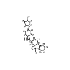 Cc1ccc(-c2ccc(Nc3ccc4c(c3)C(C)(C)c3ccccc3-4)cc2)cc1